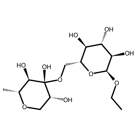 CCO[C@H]1O[C@H](CO[C@]2(O)[C@H](O)CO[C@H](C)[C@H]2O)[C@@H](O)[C@H](O)[C@H]1O